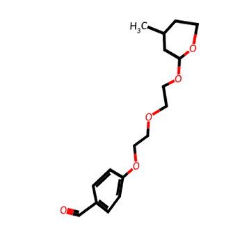 CC1CCOC(OCCOCCOc2ccc(C=O)cc2)C1